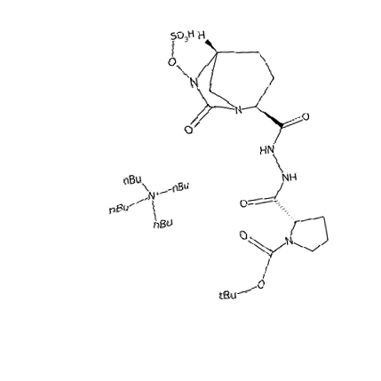 CC(C)(C)OC(=O)N1CCC[C@H]1C(=O)NNC(=O)[C@@H]1CC[C@@H]2CN1C(=O)N2OS(=O)(=O)O.CCCC[N+](CCCC)(CCCC)CCCC